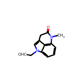 CN1C(=O)Cc2cn(CC=O)c3cccc1c23